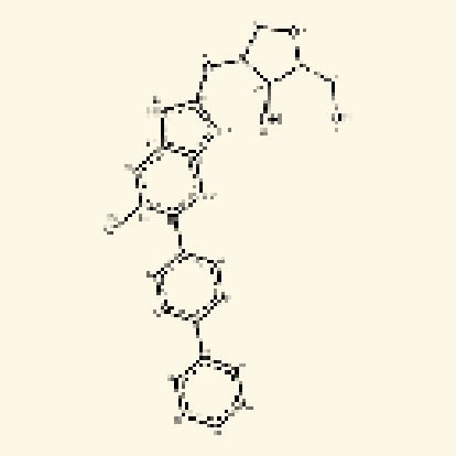 OC[C@H]1OCC(Oc2nc3nc(-c4ccc(-c5ccccc5)cc4)c(Cl)cc3[nH]2)[C@@H]1O